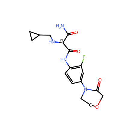 NC(=O)[C@H](NCC1CC1)C(=O)Nc1ccc(N2CCOCC2=O)cc1F